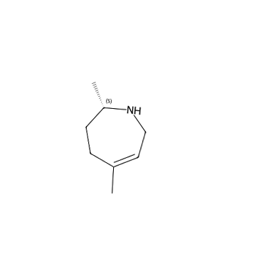 CC1=CCN[C@@H](C)CC1